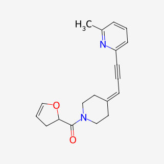 Cc1cccc(C#CC=C2CCN(C(=O)C3CC=CO3)CC2)n1